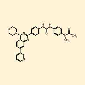 CC(=O)N(C)c1ccc(NC(=O)Nc2ccc(-c3nc(N4CCOCC4)c4ccc(-c5cccnc5)cc4n3)cc2)cc1